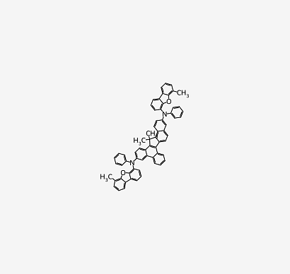 Cc1cccc2c1oc1c(N(c3ccccc3)c3ccc4c5c(ccc4c3)-c3c(c4ccc(N(c6ccccc6)c6cccc7c6oc6c(C)cccc67)cc4c4ccccc34)C5(C)C)cccc12